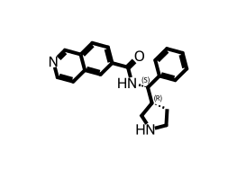 O=C(N[C@H](c1ccccc1)[C@@H]1CCNC1)c1ccc2cnccc2c1